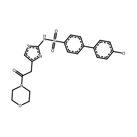 O=C(Cc1csc(NS(=O)(=O)c2ccc(-c3ccc(Cl)cc3)cc2)n1)N1CCOCC1